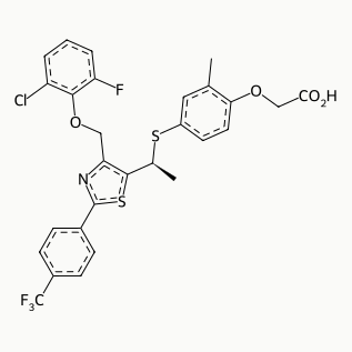 Cc1cc(S[C@@H](C)c2sc(-c3ccc(C(F)(F)F)cc3)nc2COc2c(F)cccc2Cl)ccc1OCC(=O)O